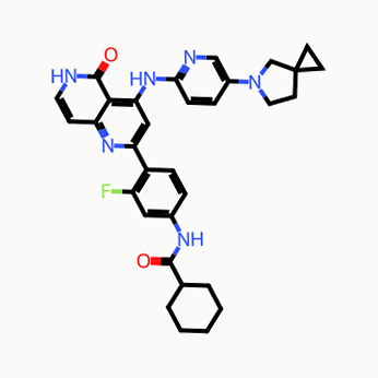 O=C(Nc1ccc(-c2cc(Nc3ccc(N4CCC5(CC5)C4)cn3)c3c(=O)[nH]ccc3n2)c(F)c1)C1CCCCC1